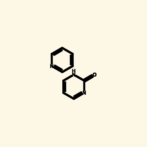 O=c1nccc[nH]1.c1ccncc1